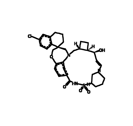 O=C1NS(=O)(=O)[C@H]2CCC[C@H](/C=C/[C@H](O)[C@@H]3CC[C@H]3CN3C[C@@]4(CCCc5cc(Cl)ccc54)COc4ccc1cc43)C2